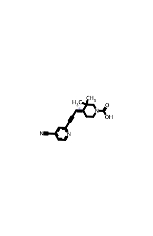 CC1(C)CN(C(=O)O)CC/C1=C\C#Cc1cc(C#N)ccn1